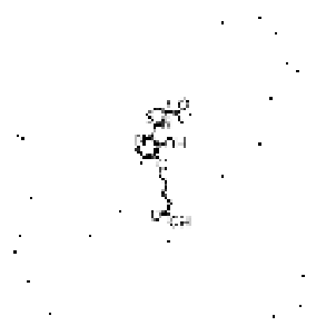 CC(=O)[C@@]1(C)CSC(c2nccc(OCCCCC(=O)O)c2O)=N1